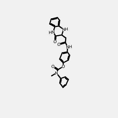 CN(C(=O)Oc1ccc(NC(=O)CC2Nc3ccccc3NC2=O)cc1)c1ccccc1